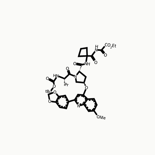 CCOC(=O)C(=O)NC(=O)C1(NC(=O)[C@@H]2C[C@@H](Oc3cc(-c4ccc5c(c4)OCO5)nc4cc(OC)ccc34)CN2C(=O)[C@@H](NC(=O)OC(C)(C)C)C(C)C)CCC1